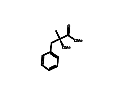 COC(=O)[C@@](C)(Cc1ccccc1)OC